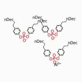 CCCCCCCCCCCCc1ccc(OP(=O)([O-])Oc2ccc(CCCCCCCCCCCC)cc2)cc1.CCCCCCCCCCCCc1ccc(OP(=O)([O-])Oc2ccc(CCCCCCCCCCCC)cc2)cc1.CCCCCCCCCCCCc1ccc(OP(=O)([O-])Oc2ccc(CCCCCCCCCCCC)cc2)cc1.[Al+3]